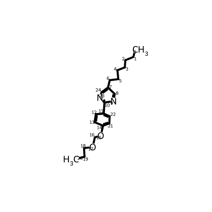 CCCCCCCc1cnc(-c2ccc(OCOCCC)cc2)nc1